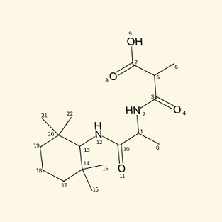 CC(NC(=O)C(C)C(=O)O)C(=O)NC1C(C)(C)CCCC1(C)C